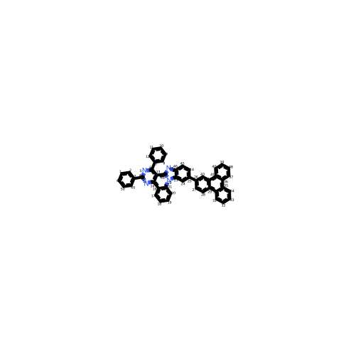 c1ccc(-c2nc(-c3ccccc3)c3c(n2)c2ccccc2n2c4cc(-c5ccc6c7ccccc7c7ccccc7c6c5)ccc4nc32)cc1